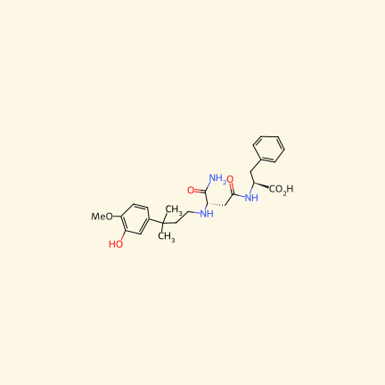 COc1ccc(C(C)(C)CCN[C@@H](CC(=O)N[C@@H](Cc2ccccc2)C(=O)O)C(N)=O)cc1O